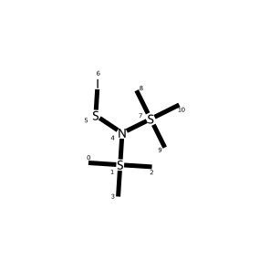 CS(C)(C)N(SI)S(C)(C)C